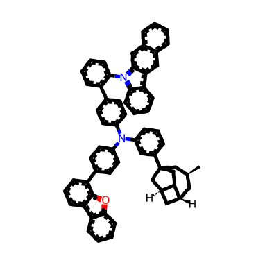 C[C@H]1C[C@@H]2C[C@H]3CC(c4cccc(N(c5ccc(-c6ccccc6-n6c7ccccc7c7cc8ccccc8cc76)cc5)c5ccc(-c6cccc7c6oc6ccccc67)cc5)c4)(CC23)C1